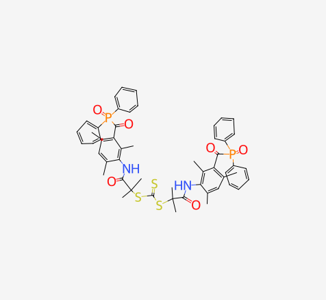 Cc1cc(C)c(C(=O)P(=O)(c2ccccc2)c2ccccc2)c(C)c1NC(=O)C(C)(C)SC(=S)SC(C)(C)C(=O)Nc1c(C)cc(C)c(C(=O)P(=O)(c2ccccc2)c2ccccc2)c1C